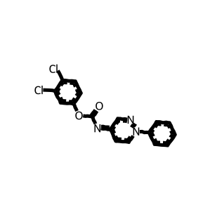 O=C(N=c1ccn(-c2ccccc2)nc1)Oc1ccc(Cl)c(Cl)c1